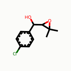 CC1(C)OC1C(O)c1ccc(Cl)cc1